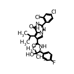 CC(C)c1c(C(=O)N[C@@H](c2ccc(F)cc2)C(C)(C)O)cn2nc(-c3ccc(Cl)cc3Cl)[nH]c(=O)c12